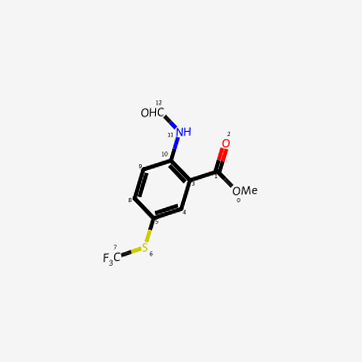 COC(=O)c1cc(SC(F)(F)F)ccc1NC=O